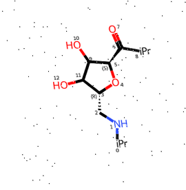 CC(C)NC[C@H]1O[C@H](C(=O)C(C)C)C(O)C1O